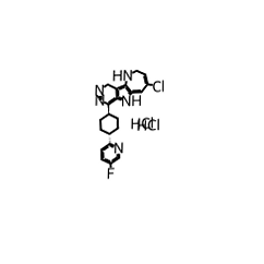 Cl.Cl.Fc1ccc([C@H]2CC[C@H](C3=c4[nH]c5c(c4CN=N3)NCC=C(Cl)C=5)CC2)nc1